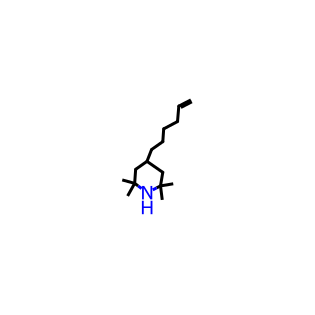 C=CCCCCC1CC(C)(C)NC(C)(C)C1